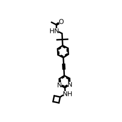 CC(=O)NCC(C)(C)c1ccc(C#Cc2cnc(NC3CCC3)nc2)cc1